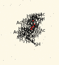 COC(O[C@H](CCO)C(O)C(O)[C@@H](OC)N(C)OCCNC(=O)CCCS)C(O)C(O[C@]1(C(=O)O)CC(O)[C@@H](NC(C)=O)[C@H](C[C@H](O)CO)O1)C(CCO)OC(OC)[C@@H](NC(C)=O)C(O[C@H](OC)C(O)C(O[C@]1(C(=O)O)CC(O)[C@@H](NC(C)=O)C(C(O)[C@@H](CO)O[C@]2(C(=O)O)CC(O)[C@@H](NC(C)=O)C(C(O)[C@H](O)CO)O2)O1)C(O)CCO)C(O)CCO